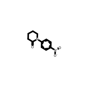 O=C1[CH]CCCN1c1ccc([N+](=O)[O-])cc1